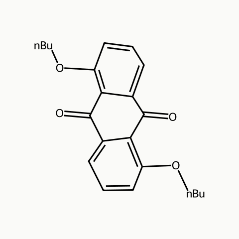 CCCCOc1cccc2c1C(=O)c1cccc(OCCCC)c1C2=O